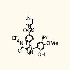 COc1cc(O)c(-c2nnc(C(=O)NCC(F)(F)F)n2-c2ccc(S(=O)(=O)N3CCN(C)CC3)cc2)cc1C(C)C